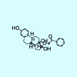 C[C@]12CC[C@@H]3c4ccc(O)cc4CC[C@H]3[C@@H]1CC[C@@]2(O)OCC(=O)c1ccccc1